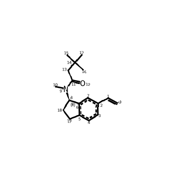 C=Cc1ccc2c(c1)[C@H](N(C)C(=O)CC(C)(C)C)CC2